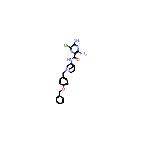 Nc1nc(N)c(C(=O)NC2C[N+]3(Cc4ccc(OCc5ccccc5)cc4)CCC2CC3)nc1Cl